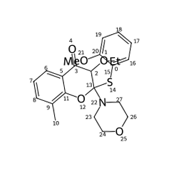 CCOC1C(=O)c2cccc(C)c2OC1(Sc1ccccc1OC)N1CCOCC1